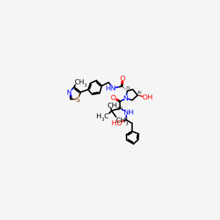 Cc1ncsc1-c1ccc(CNC(=O)[C@@H]2C[C@@H](O)CN2C(=O)[C@@H](NC(O)Cc2ccccc2)C(C)(C)C)cc1